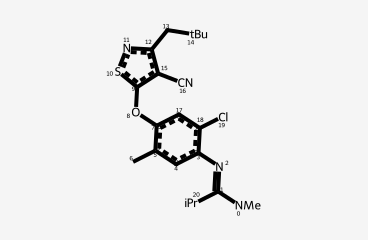 CNC(=Nc1cc(C)c(Oc2snc(CC(C)(C)C)c2C#N)cc1Cl)C(C)C